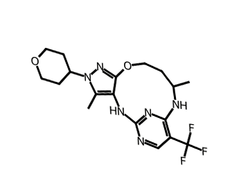 Cc1c2c(nn1C1CCOCC1)OCCC(C)Nc1nc(ncc1C(F)(F)F)N2